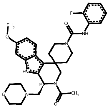 COc1ccc2c3c([nH]c2c1)[C@H](CN1CCOCC1)N(C(C)=O)CC31CCN(C(=O)Nc2ccccc2F)CC1